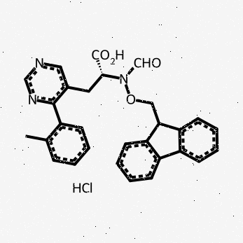 Cc1ccccc1-c1ncncc1C[C@H](C(=O)O)N(C=O)OCC1c2ccccc2-c2ccccc21.Cl